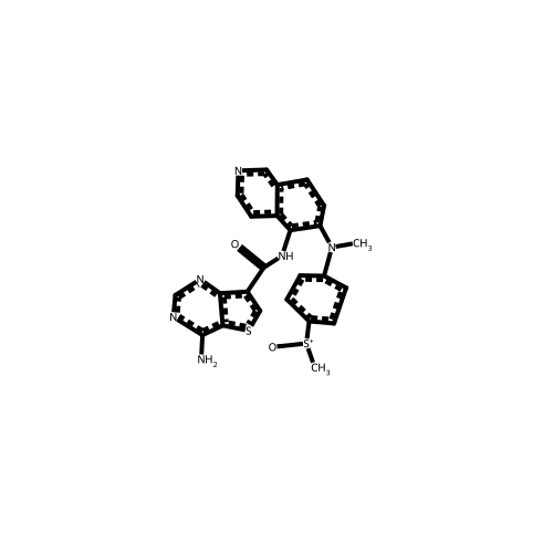 CN(c1ccc([S+](C)[O-])cc1)c1ccc2cnccc2c1NC(=O)c1csc2c(N)ncnc12